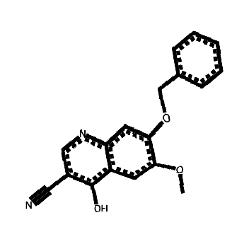 COc1cc2c(O)c(C#N)cnc2cc1OCc1ccccc1